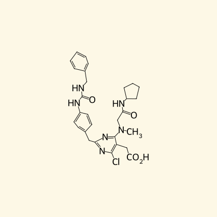 CN(CC(=O)NC1CCCC1)c1nc(Cc2ccc(NC(=O)NCc3ccccc3)cc2)nc(Cl)c1CC(=O)O